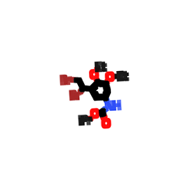 CCOc1cc(NC(=O)OC(C)C)cc(C(Br)CBr)c1OCC